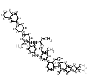 C=CC(=O)Nc1cc(Nc2nc(-c3ccnc(N4CCn5c(cc6c5CC(C)(C)C6)C4=O)c3CO)cn(C)c2=O)ccc1N1CCN(C2CCN(c3ccc4c(c3)CCOC4)CC2)C[C@@H]1C